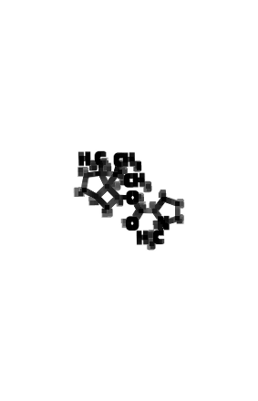 CN1CCCC1C(=O)OC1CC2CCC3(C)C(C)(C)C213